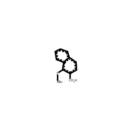 CCCCSc1c(C(=O)O)ccc2ccccc12